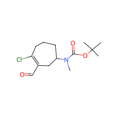 CN(C(=O)OC(C)(C)C)C1CCCC(Cl)=C(C=O)C1